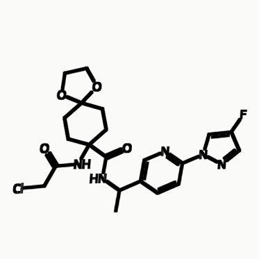 CC(NC(=O)C1(NC(=O)CCl)CCC2(CC1)OCCO2)c1ccc(-n2cc(F)cn2)nc1